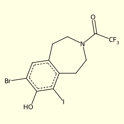 O=C(N1CCc2cc(Br)c(O)c(I)c2CC1)C(F)(F)F